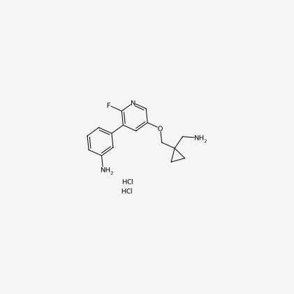 Cl.Cl.NCC1(COc2cnc(F)c(-c3cccc(N)c3)c2)CC1